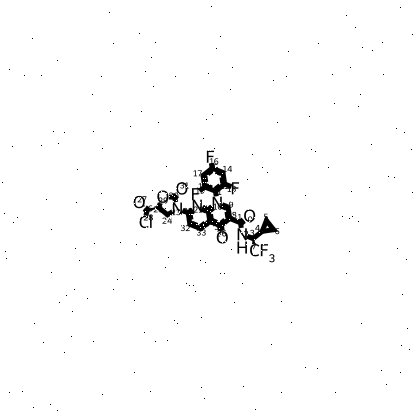 O=C(N[C@@H](C1CC1)C(F)(F)F)c1cn(-c2c(F)cc(F)cc2F)c2nc(N3C[C@@H](C(=O)Cl)OC3=O)ccc2c1=O